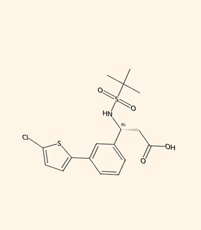 CC(C)(C)S(=O)(=O)N[C@H](CC(=O)O)c1cccc(-c2ccc(Cl)s2)c1